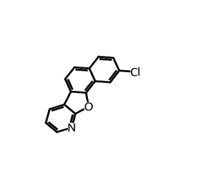 Clc1ccc2ccc3c4cccnc4oc3c2c1